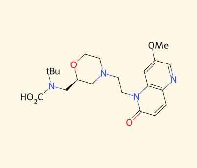 COc1cnc2ccc(=O)n(CCN3CCO[C@H](CN(C(=O)O)C(C)(C)C)C3)c2c1